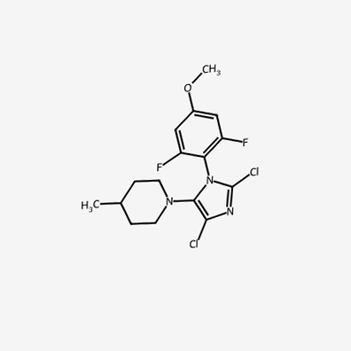 COc1cc(F)c(-n2c(Cl)nc(Cl)c2N2CCC(C)CC2)c(F)c1